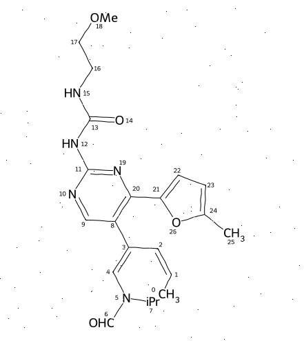 C/C=C\C(=C/N(C=O)C(C)C)c1cnc(NC(=O)NCCOC)nc1-c1ccc(C)o1